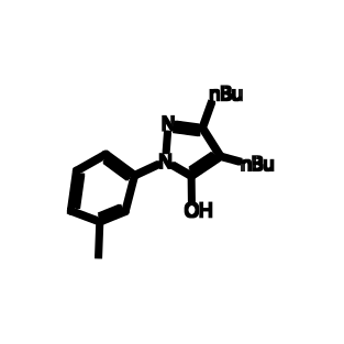 CCCCc1nn(-c2cccc(C)c2)c(O)c1CCCC